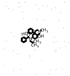 CC(C)CN(C(=O)c1ccccc1)[C@@H]1CCC2(O)CN(C)CCC2(c2cccc(O)c2)C1